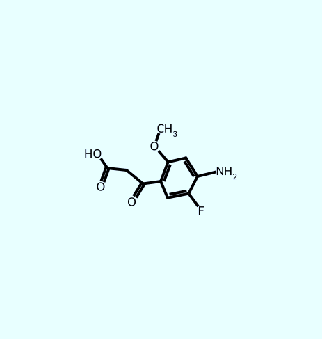 COc1cc(N)c(F)cc1C(=O)CC(=O)O